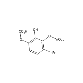 CCCCCCCCOc1c(CCC)ccc(OC(=O)O)c1O